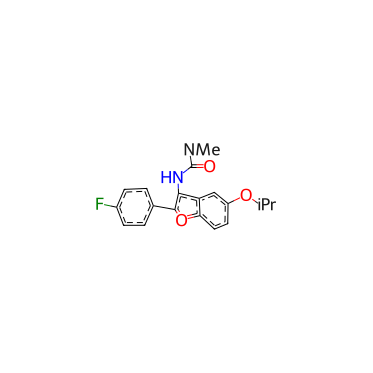 CNC(=O)Nc1c(-c2ccc(F)cc2)oc2ccc(OC(C)C)cc12